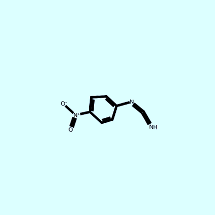 N=C=Nc1ccc([N+](=O)[O-])cc1